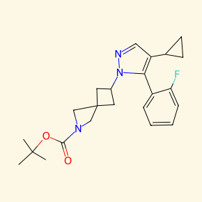 CC(C)(C)OC(=O)N1CC2(CC(n3ncc(C4CC4)c3-c3ccccc3F)C2)C1